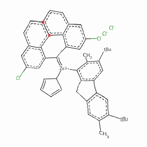 Cc1cc2c(cc1C(C)(C)C)-c1cc(C(C)(C)C)c(C)[c]([Zr+2](=[C](c3cc(Cl)cc4ccccc34)c3cc(Cl)cc4ccccc34)[CH]3C=CC=C3)c1C2.[Cl-].[Cl-]